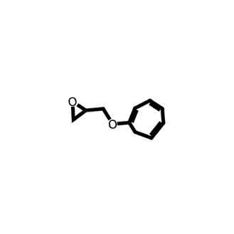 C1=CC=C(OCC2CO2)CC=C1